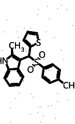 Cc1ccc(S(=O)(=O)C(c2cccs2)c2c(C)[nH]c3ccccc23)cc1